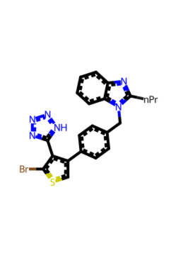 CCCc1nc2ccccc2n1Cc1ccc(-c2csc(Br)c2-c2nnn[nH]2)cc1